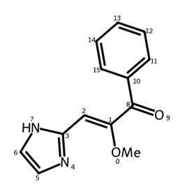 COC(=Cc1ncc[nH]1)C(=O)c1ccccc1